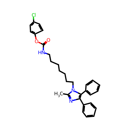 Cc1nc(-c2ccccc2)c(-c2ccccc2)n1CCCCCCCNC(=O)Oc1ccc(Cl)cc1